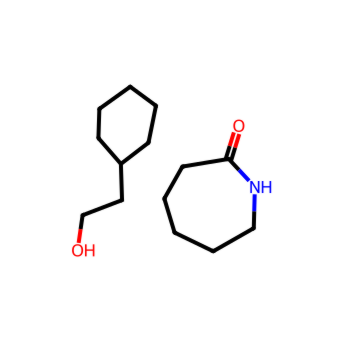 O=C1CCCCCN1.OCCC1CCCCC1